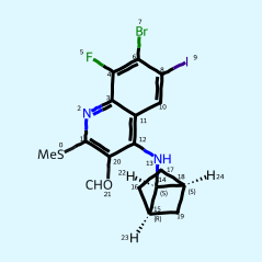 CSc1nc2c(F)c(Br)c(I)cc2c(N[C@@H]2[C@@H]3CC[C@H]2C3)c1C=O